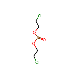 O=S(OCCCl)OCCCl